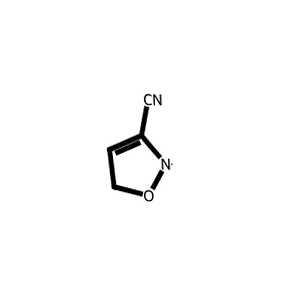 N#CC1=CCO[N]1